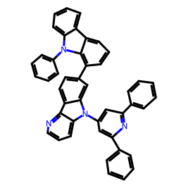 c1ccc(-c2cc(-n3c4cc(-c5cccc6c7ccccc7n(-c7ccccc7)c56)ccc4c4ncccc43)cc(-c3ccccc3)n2)cc1